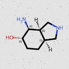 N[C@H]1[C@H]2CNC[C@H]2CC[C@@H]1O